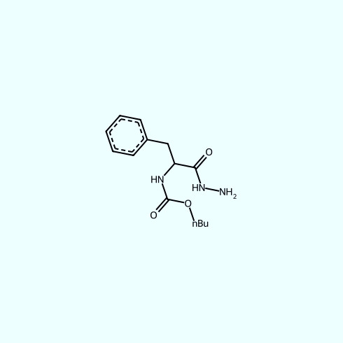 CCCCOC(=O)NC(Cc1ccccc1)C(=O)NN